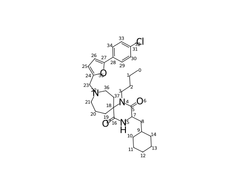 CCCCN1C(=O)C(CC2CCCCC2)NC(=O)C12CCCN(Cc1ccc(-c3ccc(Cl)cc3)o1)CC2